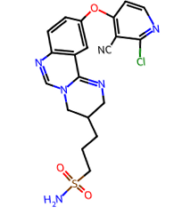 N#Cc1c(Oc2ccc3c(c2)C2=NCC(CCCS(N)(=O)=O)CN2C=N3)ccnc1Cl